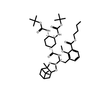 CCCCOC(=O)c1cccc(C[C@H](NC(=O)[C@@H]2CC[C@H](NC(=O)OC(C)(C)C)[C@@H](NC(=O)OC(C)(C)C)C2)B2OC3CC4CC(C4(C)C)C3(C)O2)c1OC